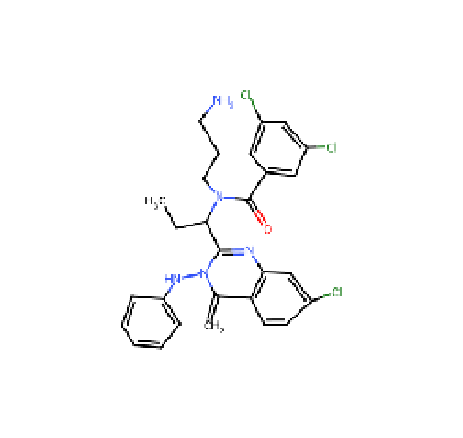 C=C1c2ccc(Cl)cc2N=C(C(CC)N(CCCN)C(=O)c2cc(Cl)cc(Cl)c2)N1Nc1ccccc1